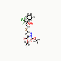 CC(C)(C)OC(=O)N[C@@H](CCSCCC(O)(c1ccccc1)C(F)(F)F)C(=O)OC(C)(C)C